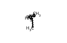 CCCCCCCCc1cc2c(s1)NC(=O)CN=C2c1cccc(C)c1